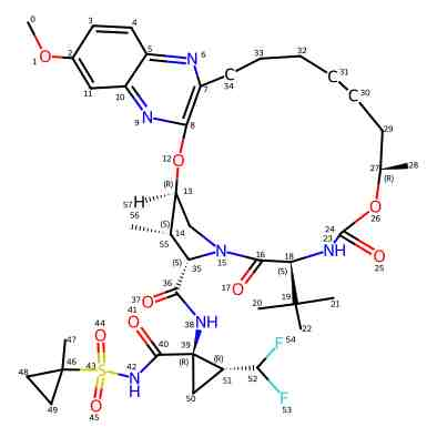 COc1ccc2nc3c(nc2c1)O[C@H]1CN(C(=O)[C@H](C(C)(C)C)NC(=O)O[C@H](C)CCCCCC3)[C@H](C(=O)N[C@]2(C(=O)NS(=O)(=O)C3(C)CC3)C[C@H]2C(F)F)[C@@H]1C